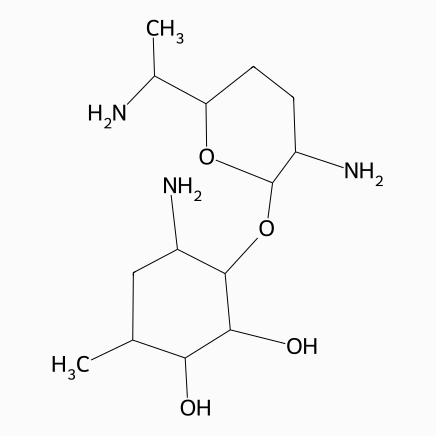 CC(N)C1CCC(N)C(OC2C(N)CC(C)C(O)C2O)O1